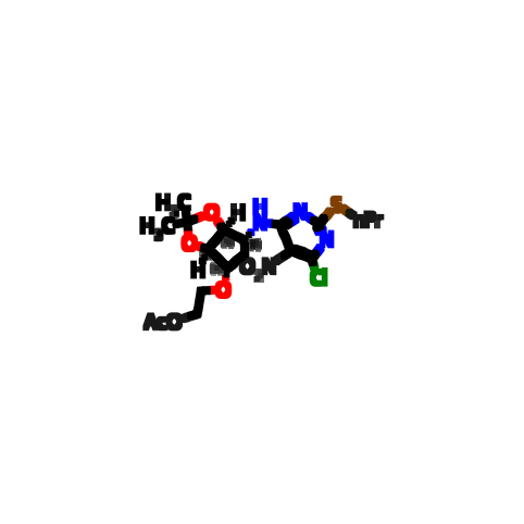 CCCSc1nc(Cl)c([N+](=O)[O-])c(N[C@@H]2C[C@H](OCCOC(C)=O)[C@H]3OC(C)(C)O[C@H]32)n1